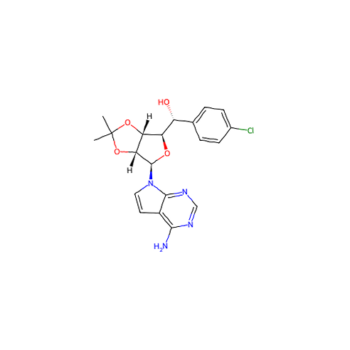 CC1(C)O[C@H]2[C@@H](O1)[C@H](n1ccc3c(N)ncnc31)O[C@@H]2[C@H](O)c1ccc(Cl)cc1